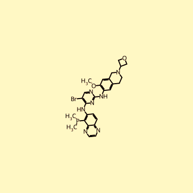 COc1cc2c(cc1Nc1ncc(Br)c(Nc3ccc4nccnc4c3P(C)C)n1)CCN(C1COC1)C2